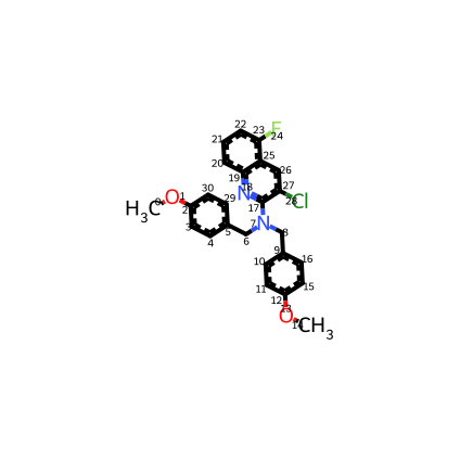 COc1ccc(CN(Cc2ccc(OC)cc2)c2nc3cccc(F)c3cc2Cl)cc1